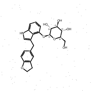 OC[C@H]1O[C@@H](Oc2cccc3[nH]cc(Cc4ccc5c(c4)CCO5)c23)[C@H](O)[C@@H](O)[C@@H]1O